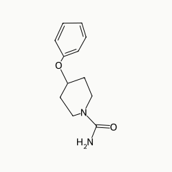 NC(=O)N1CCC(Oc2ccccc2)CC1